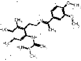 C=C(NC(=C/CC)/C(CC/N=C(\C)c1ccc(OC)c(OC)c1)=C(/C)CC)N(C)N